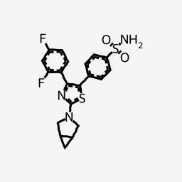 NS(=O)(=O)c1ccc(-c2sc(N3CC4CC4C3)nc2-c2ccc(F)cc2F)cc1